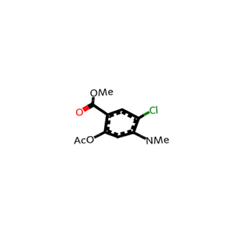 CNc1cc(OC(C)=O)c(C(=O)OC)cc1Cl